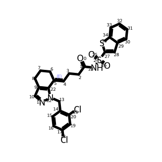 O=C(CC/C=C1\CCCc2cnn(Cc3ccc(Cl)cc3Cl)c21)NS(=O)(=O)c1cc2ccccc2s1